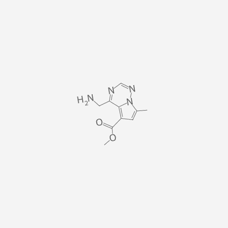 COC(=O)c1cc(C)n2ncnc(CN)c12